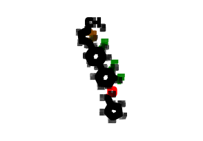 Cc1ccc(-c2ccc(-c3ccc(OCC4=CCCC4)c(F)c3F)cc2F)s1